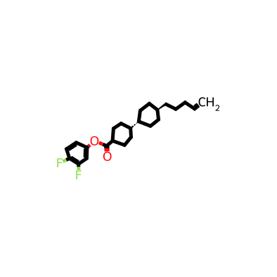 C=CCCC[C@H]1CC[C@H](C2CCC(C(=O)Oc3ccc(F)c(F)c3)CC2)CC1